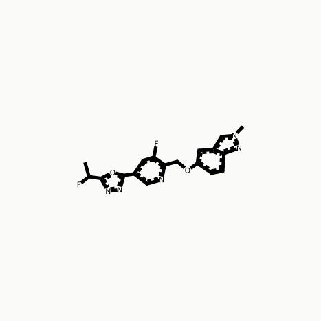 CC(F)c1nnc(-c2cnc(COc3ccc4nn(C)cc4c3)c(F)c2)o1